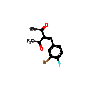 CC(C)(C)C(=O)/C(=C/c1ccc(F)c(Br)c1)C(=O)C(F)(F)F